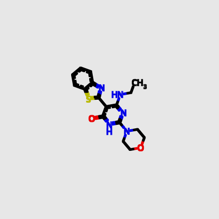 CCNc1nc(N2CCOCC2)[nH]c(=O)c1-c1nc2ccccc2s1